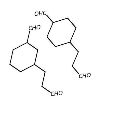 O=CCCC1CCC(C=O)CC1.O=CCCC1CCCC(C=O)C1